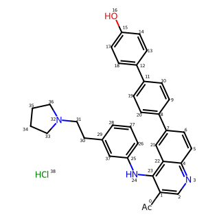 CC(=O)c1cnc2ccc(-c3ccc(-c4ccc(O)cc4)cc3)cc2c1Nc1cccc(CCN2CCCC2)c1.Cl